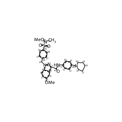 COc1ccc2c(c1)c(C(=O)Nc1ccc(N3CCCCC3)cc1)nn2Cc1ccc(S(=O)(=O)N(C)OC)cc1